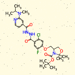 CC(C)N(C)c1cc(C(=O)NNC(=O)c2cc(F)c(OCC3COC(C)(C)N3C(=O)OC(C)(C)C)cc2Cl)ccn1